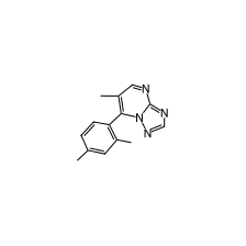 Cc1ccc(-c2c(C)cnc3ncnn23)c(C)c1